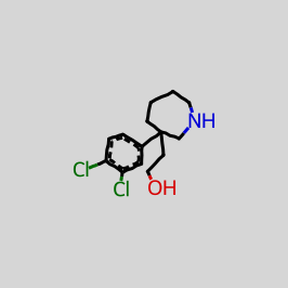 OCCC1(c2ccc(Cl)c(Cl)c2)CCCCNC1